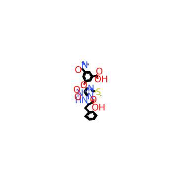 CSc1nc(NC(Cc2ccccc2)C(=O)O)c([N+](=O)[O-])c(Oc2cc(C(=O)O)cc(C(=O)N(C)C)c2)n1